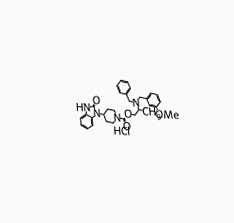 COc1cccc(CN(Cc2ccccc2)C(C)COC(=O)N2CCC(n3c(=O)[nH]c4ccccc43)CC2)c1.Cl